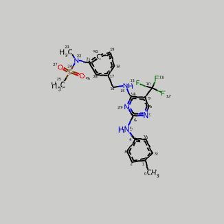 Cc1ccc(Nc2ncc(C(F)(F)F)c(NCc3cccc(N(C)S(C)(=O)=O)c3)n2)cc1